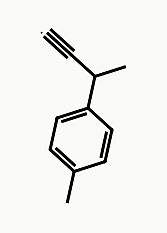 [C]#CC(C)c1ccc(C)cc1